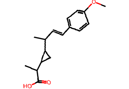 COc1ccc(C=CC(C)C2CC2C(C)C(=O)O)cc1